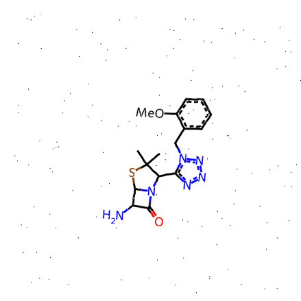 COc1ccccc1Cn1nnnc1C1N2C(=O)C(N)C2SC1(C)C